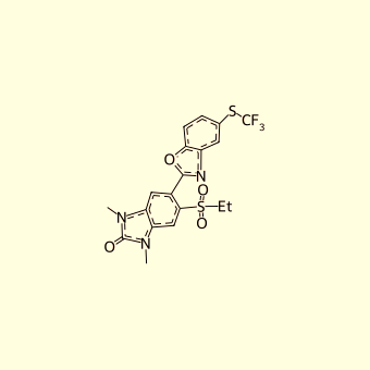 CCS(=O)(=O)c1cc2c(cc1-c1nc3cc(SC(F)(F)F)ccc3o1)n(C)c(=O)n2C